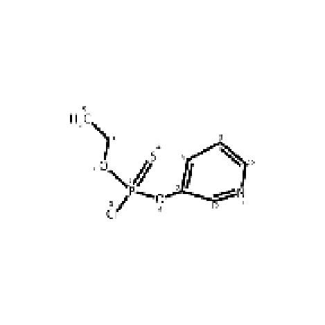 CCOP(=S)(Cl)Oc1cccnc1